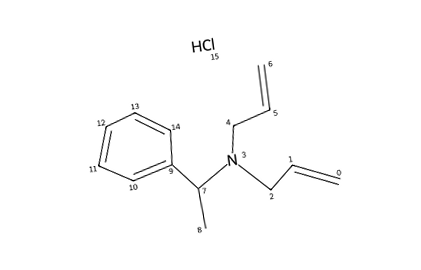 C=CCN(CC=C)C(C)c1ccccc1.Cl